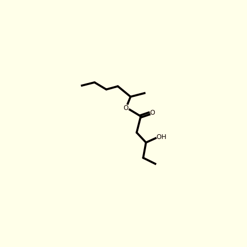 CCCCC(C)OC(=O)CC(O)CC